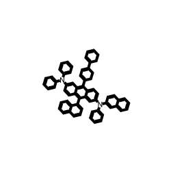 C1=CCCC(C2=CC=C(c3c4cc(N(c5ccccc5)c5ccccc5)ccc4c(-c4cccc5ccccc45)c4cc(N(c5ccccc5)c5ccc6ccccc6c5)ccc34)CC2)=C1